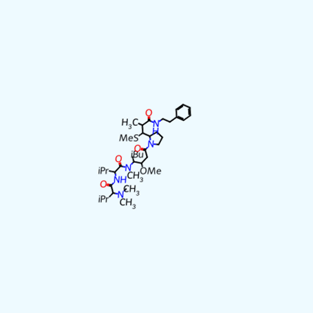 CCC(C)C(C(CC(=O)N1CCCC1C(SC)C(C)C(=O)NCCc1ccccc1)OC)N(C)C(=O)C(NC(=O)C(C(C)C)N(C)C)C(C)C